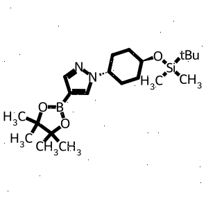 CC1(C)OB(c2cnn([C@H]3CC[C@H](O[Si](C)(C)C(C)(C)C)CC3)c2)OC1(C)C